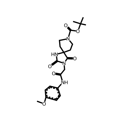 COc1ccc(NC(=O)CN2C(=O)NC3(CCN(C(=O)OC(C)(C)C)CC3)C2=O)cc1